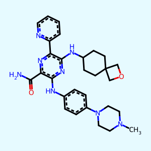 CN1CCN(c2ccc(Nc3nc(NC4CCC5(CC4)COC5)c(-c4ccccn4)nc3C(N)=O)cc2)CC1